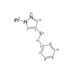 CC(C)n1cc(SCc2ccccc2)cn1